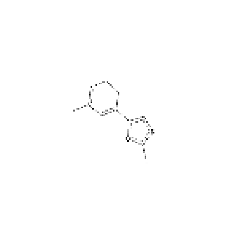 CC1=CCCC(c2cnc(C)o2)=C1